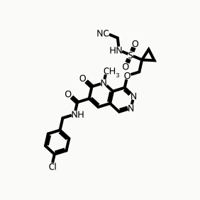 Cn1c(=O)c(C(=O)NCc2ccc(Cl)cc2)cc2cnnc(OCC3(S(=O)(=O)NCC#N)CC3)c21